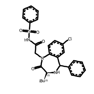 CC[C@H](C)[C@@H]1NC(c2ccccc2)c2cc(Cl)ccc2N(CC(=O)NS(=O)(=O)c2ccccc2)C1=O